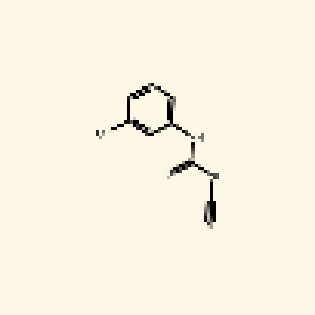 Cc1cccc(NC(=O)NC#N)c1